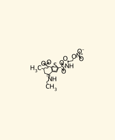 CCN[C@H]1CC(C)S(=O)(=O)c2sc(S(=O)(=O)NC(=O)CO[N+](=O)[O-])cc21